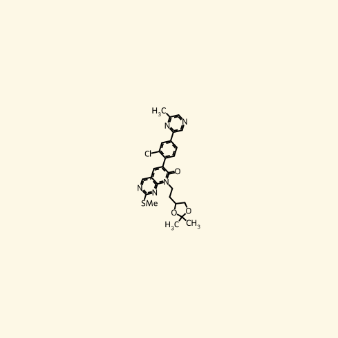 CSc1ncc2cc(-c3ccc(-c4cncc(C)n4)cc3Cl)c(=O)n(CCC3COC(C)(C)O3)c2n1